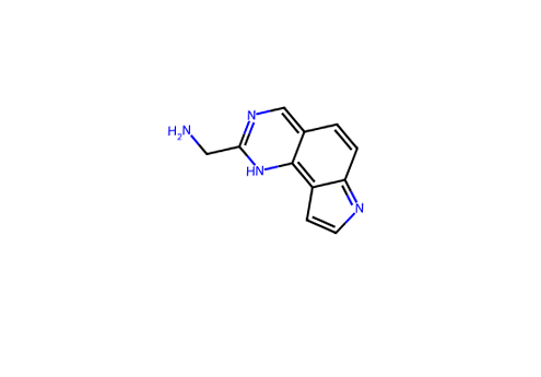 NCc1ncc2ccc3nccc3c2[nH]1